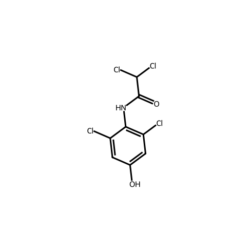 O=C(Nc1c(Cl)cc(O)cc1Cl)C(Cl)Cl